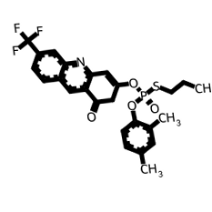 CCCSP(=O)(OC1=Cc2nc3cc(C(F)(F)F)ccc3cc2C(=O)C1)Oc1ccc(C)cc1C